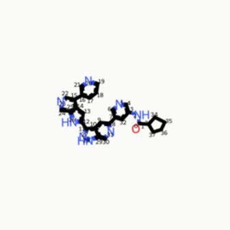 O=C(Nc1cncc(-c2cc3c(-c4cc5c(-c6cccnc6)cncc5[nH]4)n[nH]c3cn2)c1)C1CCCC1